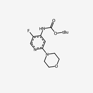 CC(C)(C)OC(=O)Nc1cc(N2CCOCC2)ncc1F